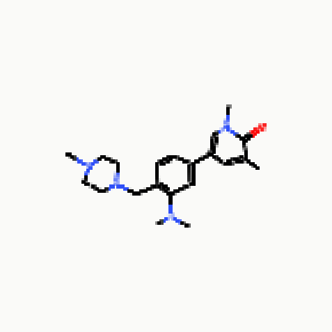 Cc1cc(-c2ccc(CN3CCN(C)CC3)c(N(C)C)c2)cn(C)c1=O